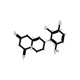 O=C1CC(=O)N2CC[C@@H](c3c(O)ccc(Cl)c3Cl)C=C2C1